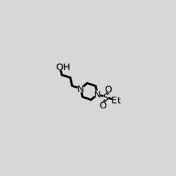 CCS(=O)(=O)N1CCN(CCCO)CC1